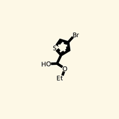 CCOC(O)c1cc(Br)cs1